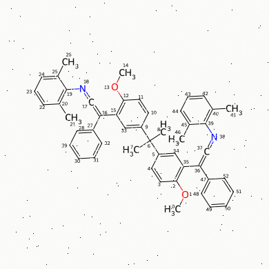 COc1ccc(C(C)(C)c2ccc(OC)c(C(=C=Nc3c(C)cccc3C)c3ccccc3)c2)cc1C(=C=Nc1c(C)cccc1C)c1ccccc1